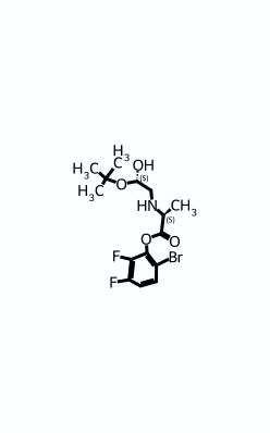 C[C@H](NC[C@@H](O)OC(C)(C)C)C(=O)Oc1c(Br)ccc(F)c1F